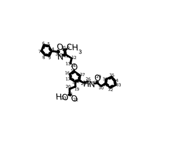 Cc1oc(-c2ccccc2)nc1CCOc1ccc(CCC(=O)O)c(CCNC(=O)Cc2ccccc2)c1